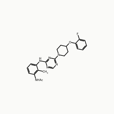 CC(=O)Nc1cccc(Nc2ncnc(N3CCC(Oc4ccccc4F)CC3)n2)c1C